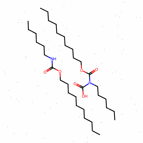 CCCCCCCCCCOC(=O)N(CCCCCC)C(=O)O.CCCCCCCCCCOC(=O)NCCCCCC